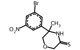 CC1(c2cc(Br)cc([N+](=O)[O-])c2)COCC(=S)N1